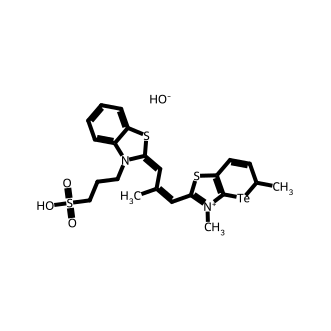 CC(=Cc1sc2c([n+]1C)[Te]C(C)C=C2)C=C1Sc2ccccc2N1CCCS(=O)(=O)O.[OH-]